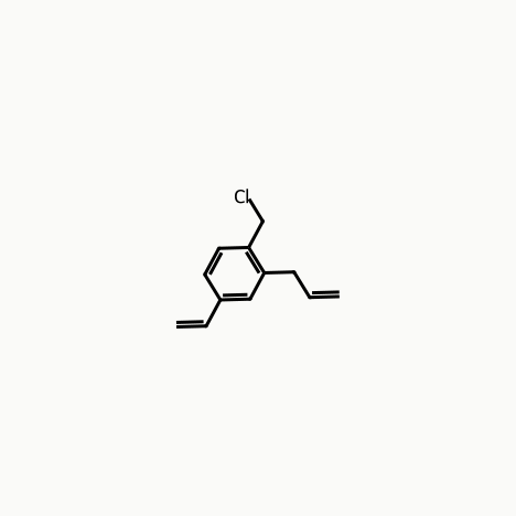 C=CCc1cc(C=C)ccc1CCl